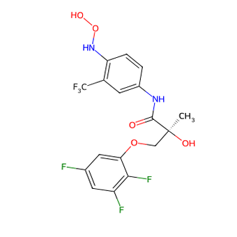 C[C@](O)(COc1cc(F)cc(F)c1F)C(=O)Nc1ccc(NOO)c(C(F)(F)F)c1